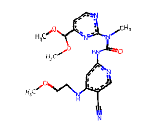 COCCNc1cc(NC(=O)N(C)c2nccc(C(OC)OC)n2)ncc1C#N